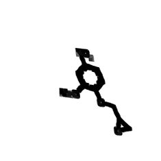 COc1cc([N+](=O)[O-])ccc1OCC1CO1